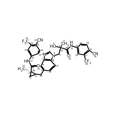 C[C@](O)(Cn1cnc2cc(CC3C[C@@]3(C)C(=O)Nc3ccc(C#N)c(C(F)(F)F)c3)ccc21)C(=O)Nc1ccc(C#N)c(C(F)(F)F)c1